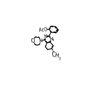 CC(=O)Oc1ccccc1-c1nc2c(c(N3CCOCC3)n1)CCC(C)C2